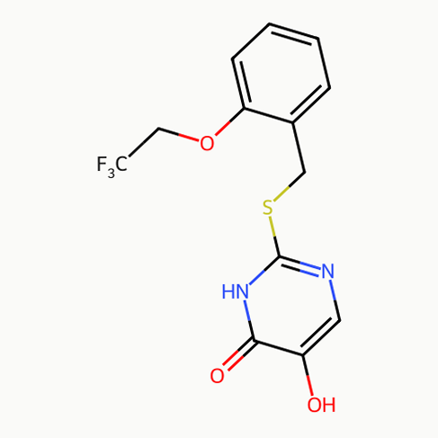 O=c1[nH]c(SCc2ccccc2OCC(F)(F)F)ncc1O